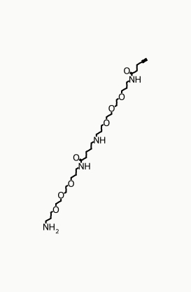 C#CCCC(=O)NCCCOCCOCCOCCCNCCCCC(=O)NCCCOCCOCCOCCCN